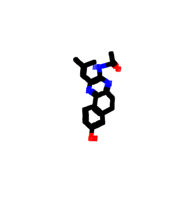 CC(=O)Nc1nc2c(nc1C=C(C)C)-c1ccc(O)cc1CC2